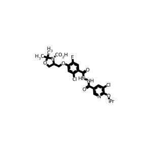 CC(C)Oc1ncc(C(=O)NNC(=O)c2cc(F)c(OCC3COC(C)(C)N3C(=O)O)cc2Cl)cc1Cl